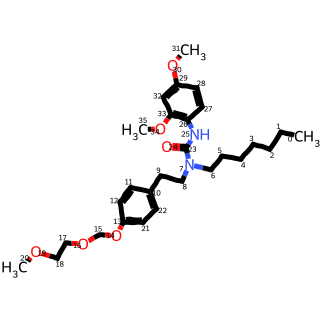 CCCCCCCN(CCc1ccc(OCOCCOC)cc1)C(=O)Nc1ccc(OC)cc1OC